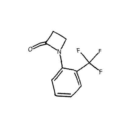 O=C1CCN1c1ccccc1C(F)(F)F